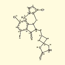 Cn1ncc(Cl)c1CC1c2cc(Cl)cc(F)c2C(=O)N1CC1CC2(CNC(=O)O2)C1